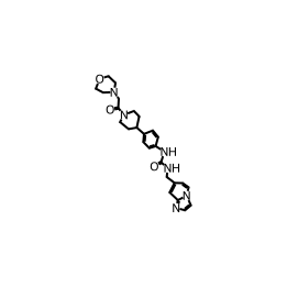 O=C(NCc1ccn2ccnc2c1)Nc1ccc(C2CCN(C(=O)CN3CCOCC3)CC2)cc1